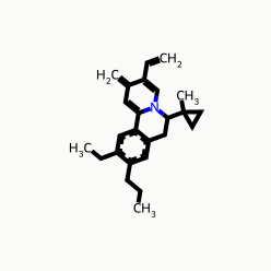 C=CC1=CN2C(=CC1=C)c1cc(CC)c(CCC)cc1CC2C1(C)CC1